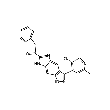 Cc1cc(-c2n[nH]c3cc4[nH]c(C(=O)Cc5ccccc5)nc4cc23)c(Cl)cn1